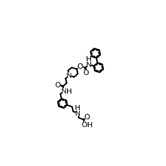 O=C(O)CNCCc1cccc(CNC(=O)CCN2CCC(OC(=O)Nc3ccccc3-c3ccccc3)CC2)c1